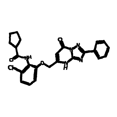 O=C(Nc1c(Cl)cccc1OCc1cc(=O)n2nc(-c3ccccc3)nc2[nH]1)C1CCCC1